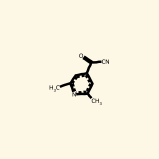 Cc1cc(C(=O)C#N)cc(C)n1